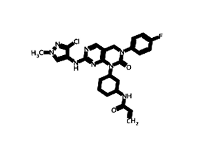 C=CC(=O)NC1CCCC(N2C(=O)N(c3ccc(F)cc3)Cc3cnc(Nc4cn(C)nc4Cl)nc32)C1